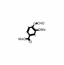 COC(=O)c1ccc(OC=O)c(OC)c1